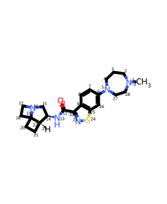 CN1CCCN(c2ccc3c(C(=O)N[C@@H]4CN5CCC56CC[C@H]46)nsc3c2)CC1